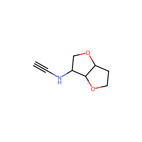 C#CNC1COC2CCOC12